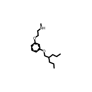 CCCC(CCC)COc1cccc(OCCNC)c1